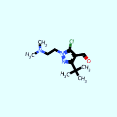 CN(C)CCn1nc(C(C)(C)C)c(C=O)c1Cl